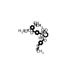 COCOc1ccc(C(=O)NC2CCCC[N+](OC(=O)c3ccc(C(=O)c4cc(N(C)C)ccc4OCOC)cc3)(C(=O)[O-])C2)cc1